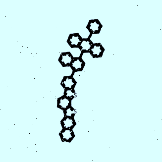 c1ccc(-c2c3ccccc3c(-c3ccc(-c4ccc5c(c4)sc4c5ccc5c6cc7ccccc7cc6sc54)c4ccccc34)c3ccccc23)cc1